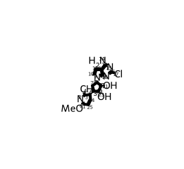 COC1=NC(C)C([C@H]2C[C@@H](n3ccc4c(N)nc(Cl)nc43)[C@H](O)[C@@H]2O)C=C1